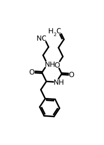 C=CCCOC(=O)NC(Cc1ccccc1)C(=O)NCCC#N